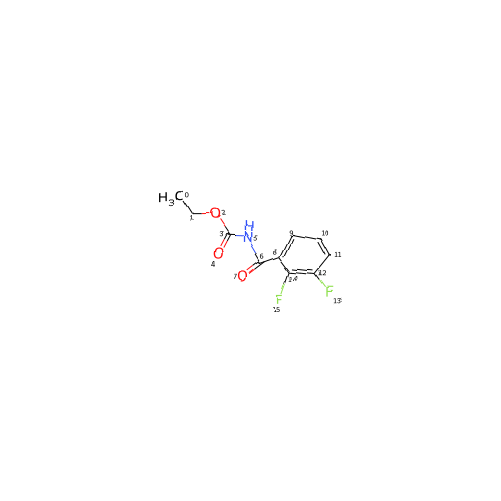 CCOC(=O)NC(=O)c1cccc(F)c1F